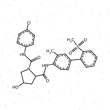 Cc1cc(-c2ccccc2S(C)(=O)=O)ccc1NC(=O)C1CC(O)CN1C(=O)Nc1ccc(Cl)cc1